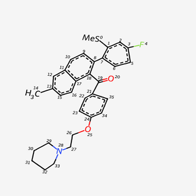 CSc1cc(F)ccc1-c1ccc2cc(C)ccc2c1C(=O)c1ccc(OCCN2CCCCC2)cc1